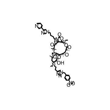 CC[C@H]1OC(=O)[C@H](C)C(=O)[C@H](C)[C@@H](O[C@@H]2O[C@H](C)C[C@H](N(C)CCc3cn(Cc4ccc([N+](=O)[O-])cc4)nn3)[C@H]2O)[C@](C)(OC)C[C@@H](C)C(=O)[C@H](C)[C@H]2N(CCCCn3cnc(-c4cccnc4)c3)C(=O)O[C@]12C